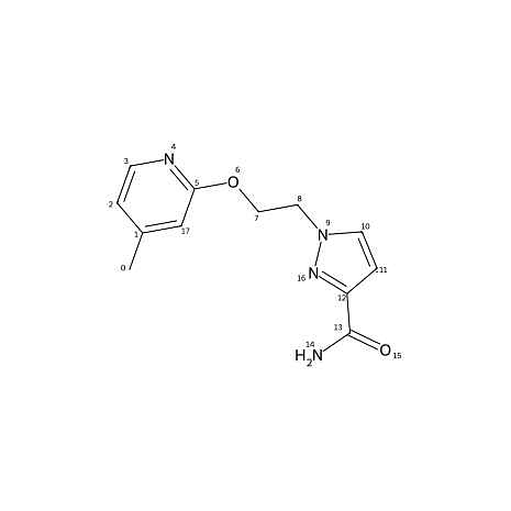 Cc1ccnc(OCCn2c[c]c(C(N)=O)n2)c1